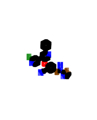 N#Cc1cc(SNc2nccs2)ccc1Oc1cnc(-c2ccccc2)cc1-c1ccnc(F)c1